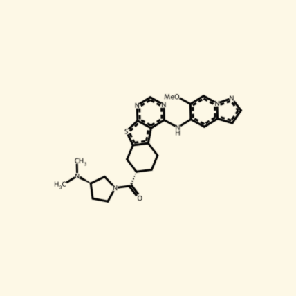 COc1cn2nccc2cc1Nc1ncnc2sc3c(c12)CC[C@H](C(=O)N1CC[C@@H](N(C)C)C1)C3